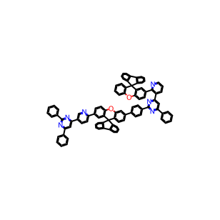 c1ccc(-c2cc(-c3ccc(-c4ccc5c(c4)C4(c6ccc(-c7ccc(-c8nc(-c9ccccc9)cc(-c9cccnc9-c9ccc%10c(c9)C9(c%11ccccc%11O%10)c%10ccccc%10-c%10ccccc%109)n8)cc7)cc6O5)c5ccccc5-c5ccccc54)nc3)nc(-c3ccccc3)n2)cc1